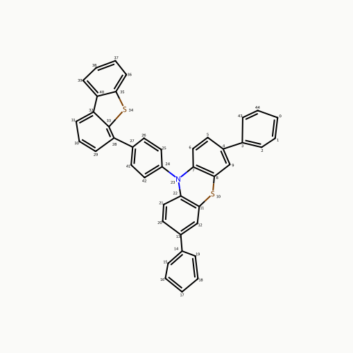 c1ccc(-c2ccc3c(c2)Sc2cc(-c4ccccc4)ccc2N3c2ccc(-c3cccc4c3sc3ccccc34)cc2)cc1